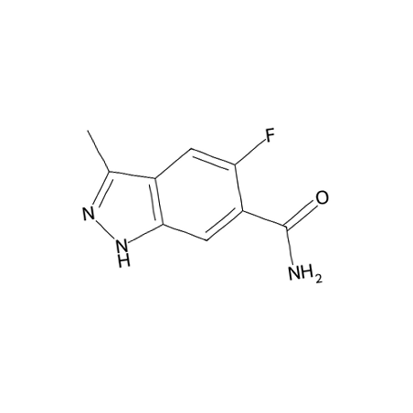 Cc1n[nH]c2cc(C(N)=O)c(F)cc12